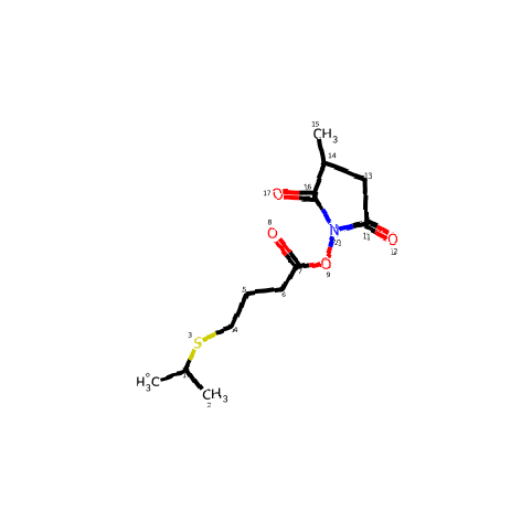 CC(C)SCCCC(=O)ON1C(=O)CC(C)C1=O